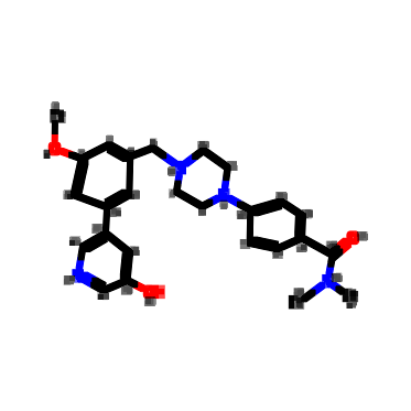 CCOc1cc(CN2CCN(c3ccc(C(=O)N(CC)CC)cc3)CC2)cc(-c2cncc(O)c2)c1